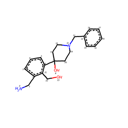 NCc1cccc(C2(O)CCN(Cc3ccccc3)CC2)c1CO